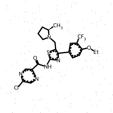 CCOc1ccc(-c2nc(NC(=O)c3cnc(Cl)cn3)sc2CN2CCC[C@H]2C)cc1C(F)(F)F